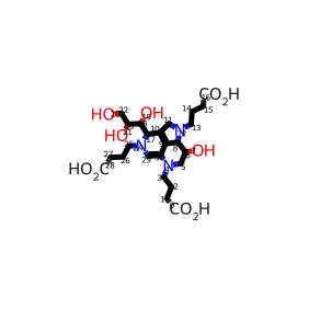 O=C(O)CCCN1CC(O)C2C3=C(CN2CCCC(=O)O)C(C(O)C(O)CO)N(CCCC(=O)O)C=C31